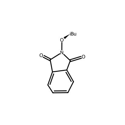 CC[C@H](C)ON1C(=O)c2ccccc2C1=O